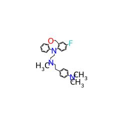 CN(CCc1ccc(N(C)C)cc1)CCN1c2ccc(F)cc2COc2ccccc21